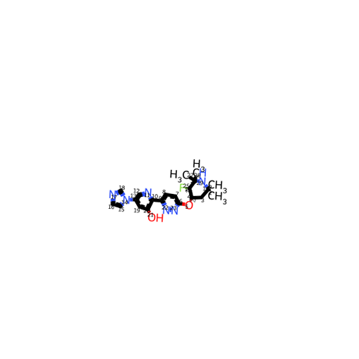 CC1(C)C[C@@H](Oc2ccc(-c3ncc(-n4ccnc4)cc3O)nn2)[C@@H](F)C(C)(C)N1